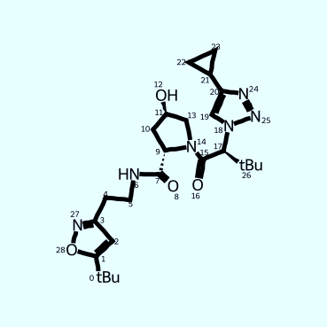 CC(C)(C)c1cc(CCNC(=O)[C@@H]2C[C@@H](O)CN2C(=O)[C@@H](n2cc(C3CC3)nn2)C(C)(C)C)no1